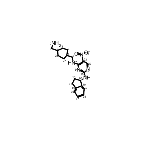 NCC1CCC(CNc2nc(N[C@@H]3CCc4ccccc43)ncc2[N+](=O)[O-])CC1